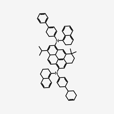 CC(C)C1=CC(N(C2=CC=C(c3ccccc3)CC2)C2=c3ccccc3=CCC2)=C2C=C3c4c(cc(N(C5=CCC(C6CC=CCC6)C=C5)C5=C6C=CC=CC6CCC5)c5c4C2C1C=C5)CCC3(C)C